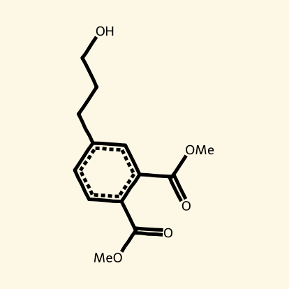 COC(=O)c1ccc(CCCO)cc1C(=O)OC